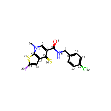 Cn1cc(C(=O)NCc2ccc(Cl)cc2)c(=S)c2cc(I)sc21